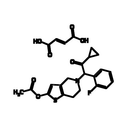 CC(=O)Oc1cc2c(s1)CCN(C(C(=O)C1CC1)c1ccccc1F)C2.O=C(O)/C=C/C(=O)O